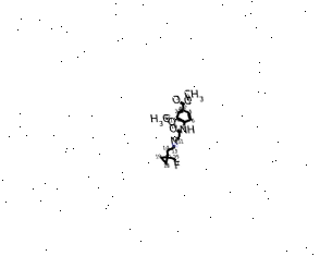 COC(=O)c1ccc(NC(=O)C/N=C/CC2(CF)CC2)c(OC)c1